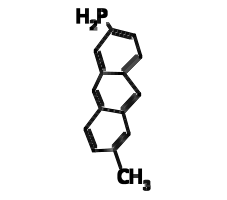 Cc1ccc2cc3cc(P)ccc3cc2c1